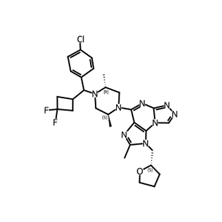 Cc1nc2c(N3C[C@@H](C)N(C(c4ccc(Cl)cc4)C4CC(F)(F)C4)C[C@@H]3C)nc3nncn3c2n1C[C@@H]1CCCO1